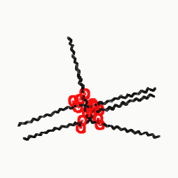 CCCCCCCCCCCCCCCCCOC(=O)CC(COCC(COC(=O)CCCCCCCCCCCCCCCCC)(COC(=O)CCCCCCCCCCCCCCCCC)CC(=O)OCCCCCCCCCCCCCCCCC)(COC(=O)CCCCCCCCCCCCCCCCC)COC(=O)CCCCCCCCCCCCCCCCC